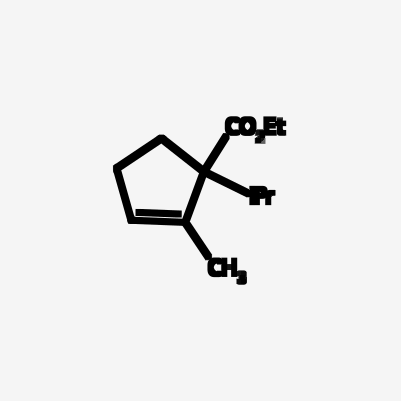 CCOC(=O)C1(C(C)C)CCC=C1C